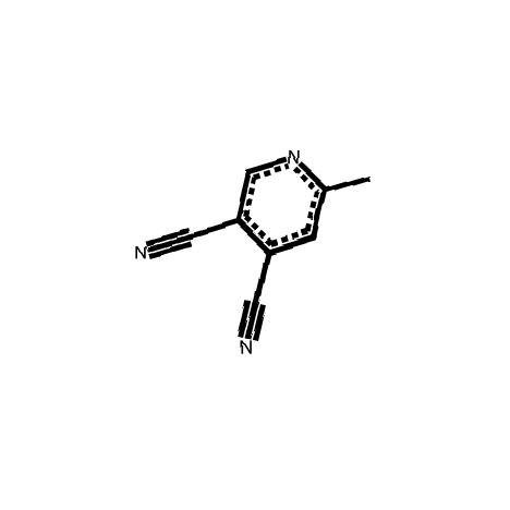 Cc1cc(C#N)c(C#N)cn1